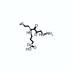 CSCC[C@H](NCCCS(=O)(=O)O)C(=O)C(=O)CNN